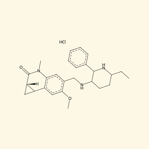 CCC1CCC(NCc2cc3c(cc2OC)C2C[C@@H]2C(=O)N3C)C(c2ccccc2)N1.Cl